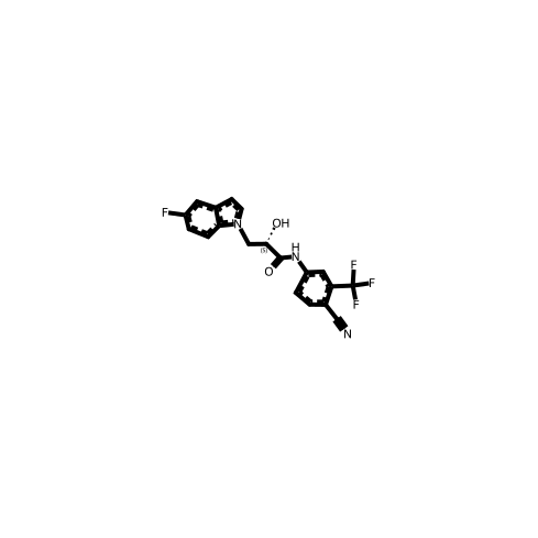 N#Cc1ccc(NC(=O)[C@@H](O)Cn2ccc3cc(F)ccc32)cc1C(F)(F)F